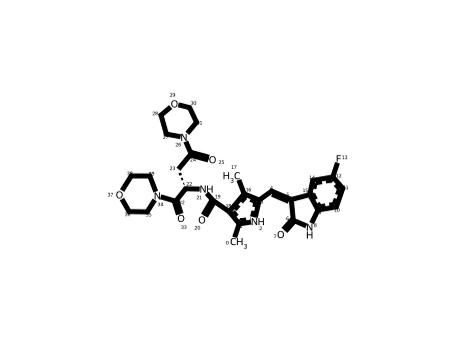 Cc1[nH]c(/C=C2\C(=O)Nc3ccc(F)cc32)c(C)c1C(=O)N[C@@H](CC(=O)N1CCOCC1)C(=O)N1CCOCC1